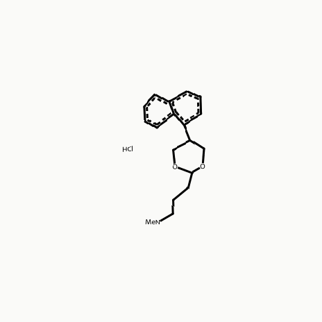 CNCCCC1OCC(c2cccc3ccccc23)CO1.Cl